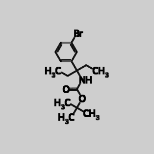 CCC(CC)(NC(=O)OC(C)(C)C)c1cccc(Br)c1